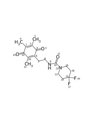 CC1=C(C)C(=O)C(CCNC(=O)N2CCC(F)(F)CC2)=C(C)C1=O